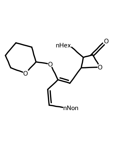 CCCCCCCCC/C=C\C(=C\C1OC(=O)C1CCCCCC)OC1CCCCO1